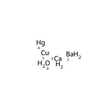 O.[BaH2].[CaH2].[Cu].[Hg]